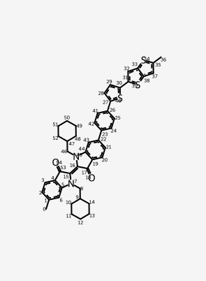 Cc1ccc2c(c1)N(CC1CCCCC1)/C(=C1\C(=O)c3ccc(-c4ccc(-c5ccc(-c6cc7sc(C)cc7s6)s5)cc4)cc3N1CC1CCCCC1)C2=O